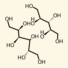 OC[C@@H](O)[C@@H](O)[C@@H](O)CO.OC[C@@H](O)[C@H](O)[C@H](O)[C@@H](O)CO